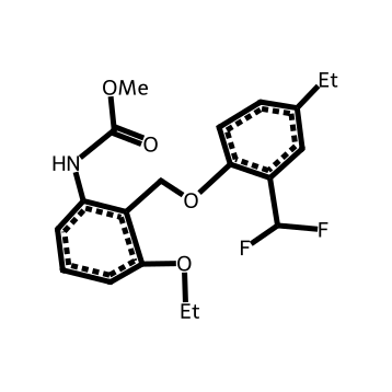 CCOc1cccc(NC(=O)OC)c1COc1ccc(CC)cc1C(F)F